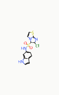 O=S(=O)(Nc1ccc2cc[nH]c2c1)C1C(Cl)N=C2SC=CN21